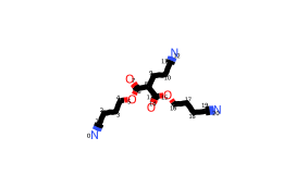 N#CCCCOC(=O)C(CCC#N)C(=O)OCCCC#N